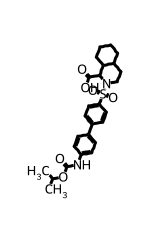 CC(C)OC(=O)Nc1ccc(-c2ccc(S(=O)(=O)N3CCC4CCCCC4C3C(=O)O)cc2)cc1